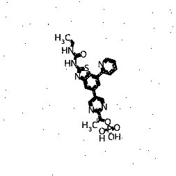 CCNC(=O)Nc1nc2cc(-c3cnc([C@H](C)OP(=O)(O)O)nc3)cc(-c3ccccn3)c2s1